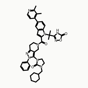 Cc1nccc(-c2ccc3c(c2)cc(C(=O)N2CCc4nn(-c5ccccc5)c(N5CCN(CC6CCCCC6)C5=O)c4C2)n3C(C)(C)c2noc(=O)[nH]2)c1C